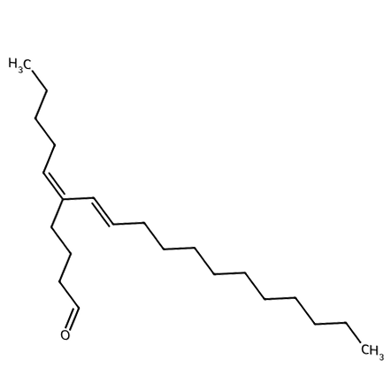 CCCCC=C(C=CCCCCCCCCCC)CCCC=O